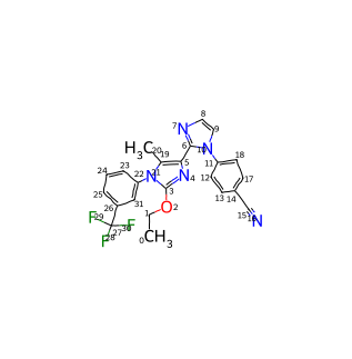 CCOc1nc(-c2nccn2-c2ccc(C#N)cc2)c(C)n1-c1cccc(C(F)(F)F)c1